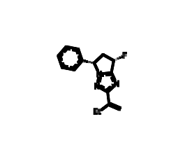 C=C(CC)c1nc2n(n1)[C@H](c1ccccc1)C[C@@H]2F